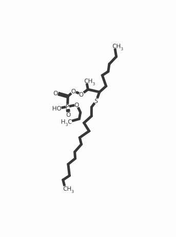 CCCCCCCCCCCCSC(CCCCCC)C(C)OOC(=O)P(=O)(O)OCCC